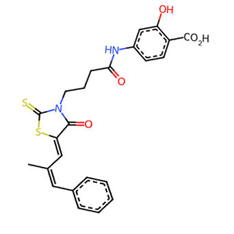 CC(=Cc1ccccc1)C=C1SC(=S)N(CCCC(=O)Nc2ccc(C(=O)O)c(O)c2)C1=O